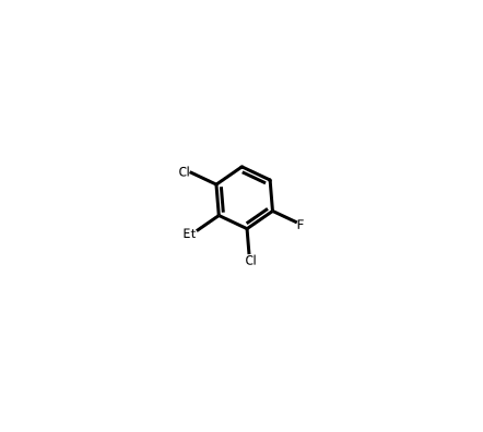 CCc1c(Cl)ccc(F)c1Cl